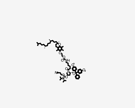 COc1ccc(C(OC[C@@H]2C[C@@H](OP(OCCC#N)N(C(C)C)C(C)C)CN2C(=O)CCCCCNC(=O)OCCOc2c(C)c(C)c3c(c2C)CC[C@@](C)(CCC[C@H](C)CCC[C@H](C)CCCC(C)C)O3)(c2ccccc2)c2ccc(OC)cc2)cc1